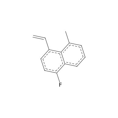 C=Cc1ccc(F)c2cccc(C)c12